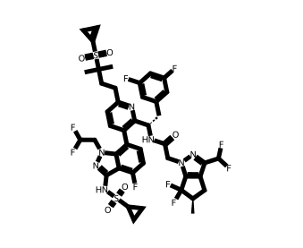 C[C@@H]1Cc2c(C(F)F)nn(CC(=O)N[C@@H](Cc3cc(F)cc(F)c3)c3nc(CCC(C)(C)S(=O)(=O)C4=CC4)ccc3-c3ccc(F)c4c(NS(=O)(=O)C5CC5)nn(CC(F)F)c34)c2C1(F)F